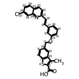 Cc1c(C(=O)O)sc2ccc(COc3cccc(C=Cc4ccc5ccc(Cl)cc5n4)c3)cc12